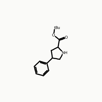 CC(C)(C)OC(=O)C1CC(c2ccccc2)CN1